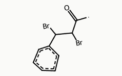 [CH2]C(=O)C(Br)C(Br)c1ccccc1